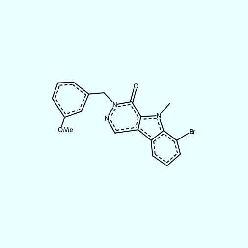 COc1cccc(Cn2ncc3c4cccc(Br)c4n(C)c3c2=O)c1